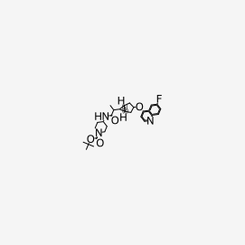 CC(C(=O)NC1CCN(C(=O)OC(C)(C)C)CC1)C1[C@H]2CC(Oc3ccnc4ccc(F)cc34)C[C@@H]12